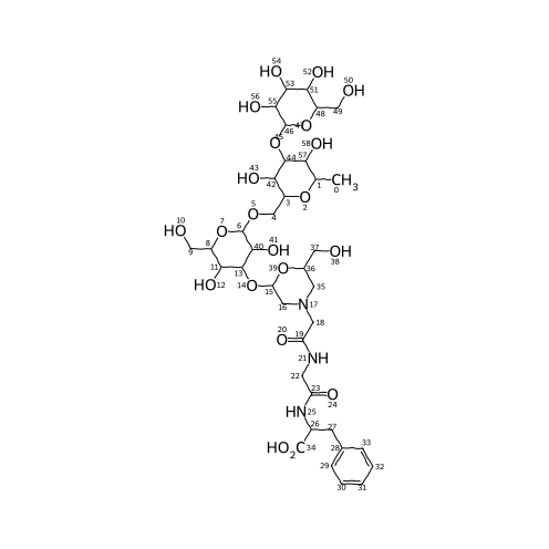 CC1OC(COC2OC(CO)C(O)C(OC3CN(CC(=O)NCC(=O)NC(Cc4ccccc4)C(=O)O)CC(CO)O3)C2O)C(O)C(OC2OC(CO)C(O)C(O)C2O)C1O